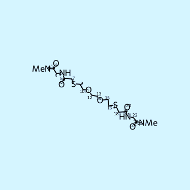 CNC(=O)CNC(=O)CSCCOCCOCCSCC(=O)NCC(=O)NC